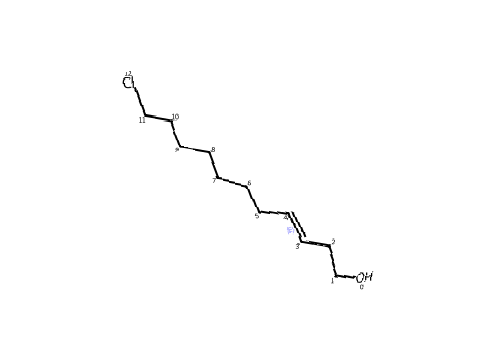 OCC/C=C/CCCCCCCCl